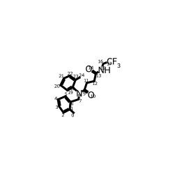 Cc1ccccc1CN(C(=O)CCC(=O)NCC(F)(F)F)c1ccccc1C